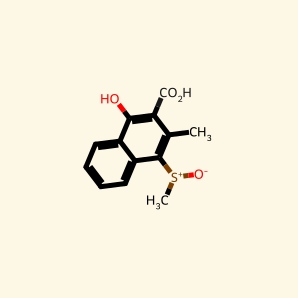 Cc1c(C(=O)O)c(O)c2ccccc2c1[S+](C)[O-]